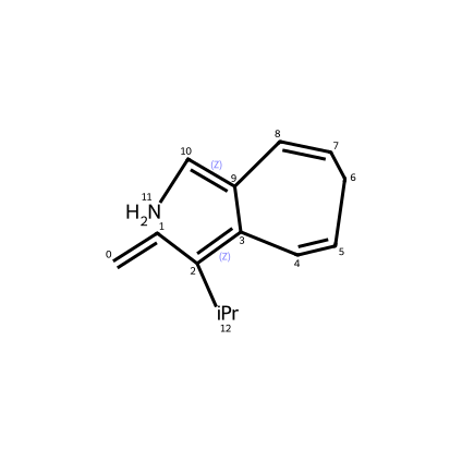 C=C/C(=C1/C=CCC=C/C1=C/N)C(C)C